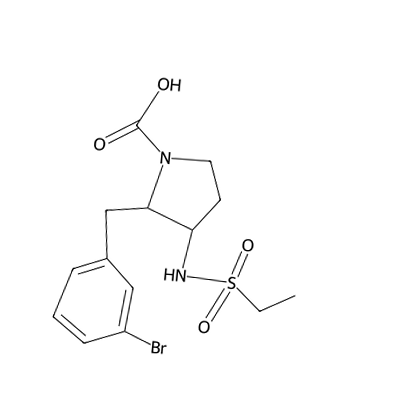 CCS(=O)(=O)NC1CCN(C(=O)O)C1Cc1cccc(Br)c1